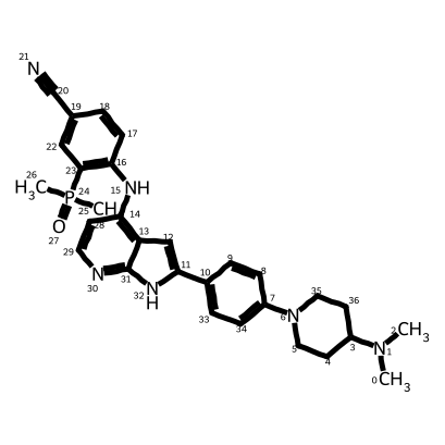 CN(C)C1CCN(c2ccc(-c3cc4c(Nc5ccc(C#N)cc5P(C)(C)=O)ccnc4[nH]3)cc2)CC1